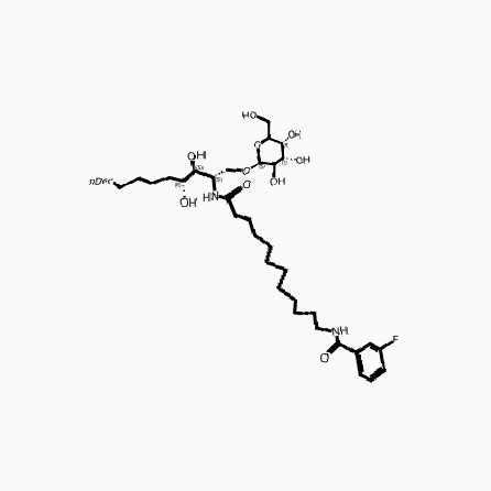 CCCCCCCCCCCCCC[C@@H](O)[C@@H](O)[C@H](CO[C@H]1OC(CO)[C@H](O)[C@H](O)C1O)NC(=O)CCCCCCCCCCCNC(=O)c1cccc(F)c1